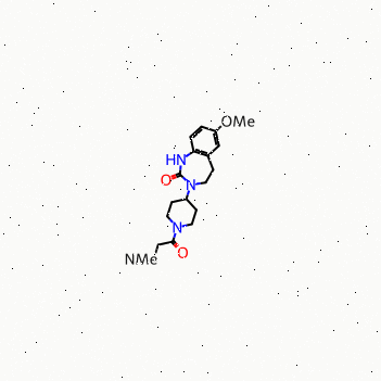 CNCC(=O)N1CCC(N2CCc3cc(OC)ccc3NC2=O)CC1